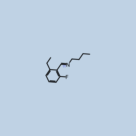 CCCC/N=C/c1c(F)cccc1CC